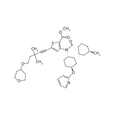 COC(=O)c1sc(C#CC(C)(C)CCOC2CCOCC2)cc1N(C(=O)[C@H]1CC[C@H](C)CC1)[C@H]1CC[C@H](Oc2ccccn2)CC1